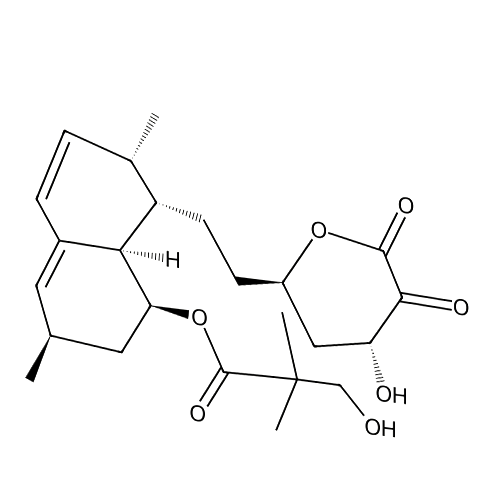 C[C@H]1C=C2C=C[C@H](C)[C@H](CC[C@@H]3C[C@@H](O)C(=O)C(=O)O3)[C@H]2[C@@H](OC(=O)C(C)(C)CO)C1